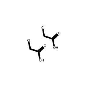 O=C(O)CCl.O=C(O)CCl